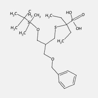 CCC(CC)(SCC(COCc1ccccc1)CO[Si](C)(C)C(C)(C)C)P(=O)(O)O